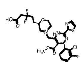 COC(=O)C1=C(CN2CCO[C@H](CCC(F)(F)CC(=O)O)C2)NC(c2nccs2)=N[C@H]1c1cccc(F)c1Cl